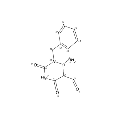 NC1C(C=O)C(=O)NC(=O)N1Cc1cccnc1